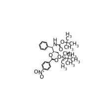 CC(C)(C)OC(=O)N[C@@H](c1ccccc1)[C@@H](CO[Si](C)(C)C(C)(C)C)OC(=O)c1ccc([N+](=O)[O-])cc1